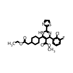 CCOC(=O)CC1CCC(C2=C(C(=O)OC)C(c3cccc(F)c3Cl)N=C(c3nccs3)N2)CC1